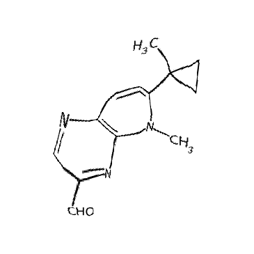 Cn1c(C2(C)CC2)cc2ncc(C=O)nc21